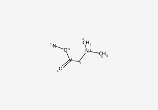 CN(C)CC(=O)O[N]